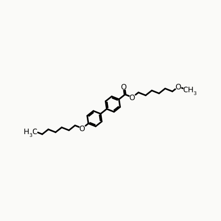 CCCCCCCOc1ccc(-c2ccc(C(=O)OCCCCCCOC)cc2)cc1